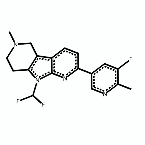 Cc1ncc(-c2ccc3c4c(n(C(F)F)c3n2)CCN(C)C4)cc1F